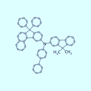 CC1(C)c2ccccc2-c2ccc(N(c3ccc(-c4ccccc4)cc3)c3ccc4c(c3)-c3c(ccc5ccccc35)C4(c3ccccc3)c3ccccc3)cc21